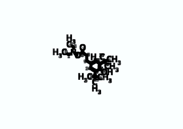 CCN(CC)OC(=O)CCc1cc(C(C)(C)C)c(O)c(C(C)(C)C)c1